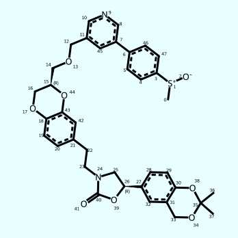 C[S+]([O-])c1ccc(-c2cncc(COC[C@@H]3COc4ccc(CCN5C[C@@H](c6ccc7c(c6)COC(C)(C)O7)OC5=O)cc4O3)c2)cc1